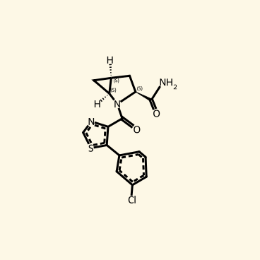 NC(=O)[C@@H]1C[C@@H]2C[C@@H]2N1C(=O)c1ncsc1-c1cccc(Cl)c1